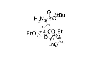 CCOC(=O)C(CCC(N)C(=O)OC(C)(C)C)(OC1COCOC1)C(=O)OCC